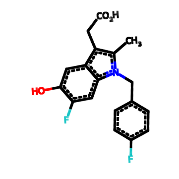 Cc1c(CC(=O)O)c2cc(O)c(F)cc2n1Cc1ccc(F)cc1